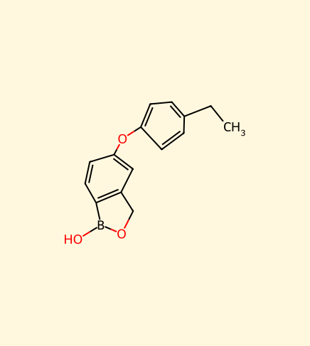 CCc1ccc(Oc2ccc3c(c2)COB3O)cc1